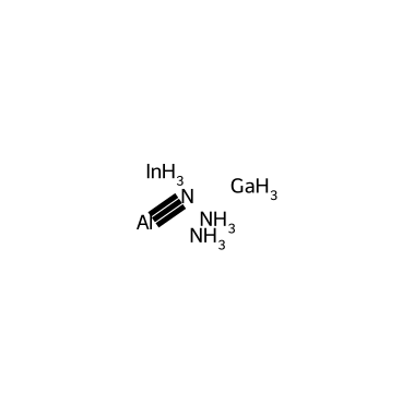 N.N.[GaH3].[InH3].[N]#[Al]